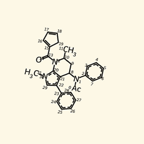 CC(=O)N(c1ccccc1)C1CC(C)N(C(=O)C2=CC=CC2)c2c1c(-c1ccccc1)cn2C